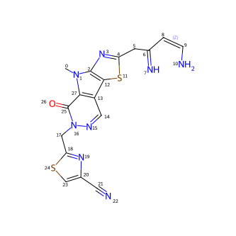 Cn1c2nc(CC(=N)/C=C\N)sc2c2cnn(Cc3nc(C#N)cs3)c(=O)c21